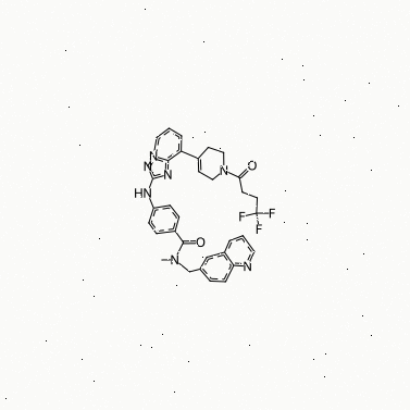 CN(Cc1ccc2ncccc2c1)C(=O)c1ccc(Nc2nc3c(C4=CCN(C(=O)CCC(F)(F)F)CC4)cccn3n2)cc1